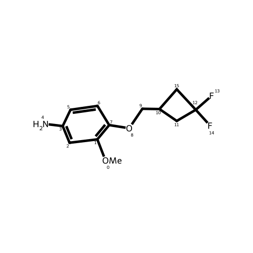 COc1cc(N)ccc1OCC1CC(F)(F)C1